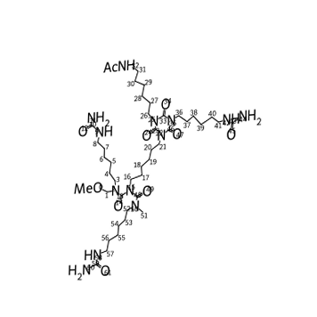 COCN(CCCCCCNC(N)=O)C(=O)N(CCCCCCn1c(=O)n(CCCCCCNC(C)=O)c(=O)n(CCCCCCNC(N)=O)c1=O)C(=O)N(C)CCCCCCNC(N)=O